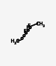 C=CCCC1CCC(C2CCC(c3ccc(-c4ccc(-c5ccc(CCCCCCCC)c(F)c5F)cc4)c(F)c3)CC2)CC1